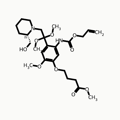 C=CCOC(=O)Nc1cc(OCCCC(=O)OC)c(OC)cc1C(CN1CCCC[C@H]1CO)(OC)OC